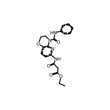 CCOC(=O)CC(=O)Nc1ccc2c(n1)N(C(=O)Nc1ccccc1)CCO2